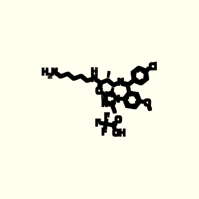 COc1ccc2c(c1)C(c1ccc(Cl)cc1)=N[C@@H]([C@@H](C)C(=O)NCCCCCN)c1nnc(C)n1-2.O=C(O)C(F)(F)F